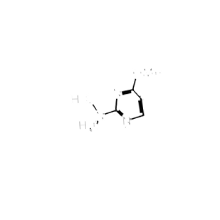 COc1[c]cnc(N(C)C)n1